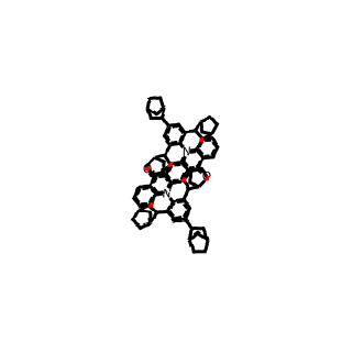 O=c1c2ccccc2n(-c2c(C3CC4CCC3C4)cc(C3CC4CCC3C4)cc2C2CC3CCC2C3)c2cc3c(=O)c4ccccc4n(-c4c(C5CC6CCC5C6)cc(C5CC6CCC5C6)cc4C4CC5CCC4C5)c3cc12